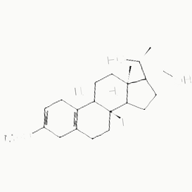 COC1=CCC2=C(CC[C@@H]3[C@@H]2CC[C@@]2(C)[C@H]3CC[C@]2(CO)[C@H](C)O)C1